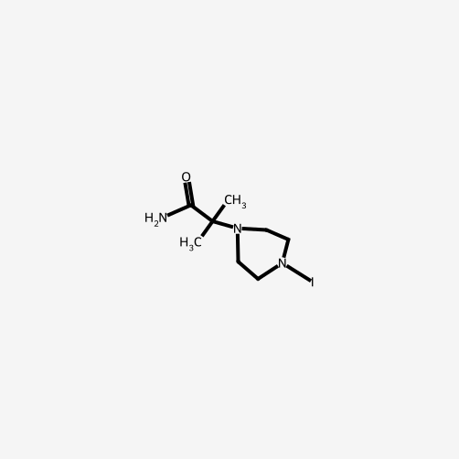 CC(C)(C(N)=O)N1CCN(I)CC1